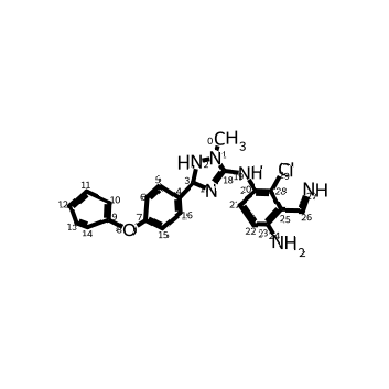 CN1NC(c2ccc(Oc3ccccc3)cc2)N=C1Nc1ccc(N)c(C=N)c1Cl